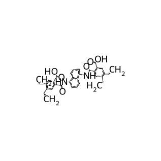 C=Cc1cc(C(=O)O)c(C(=O)Nc2cccc3c(NC(=O)c4cc(C=C)c(C=C)cc4C(=O)O)cccc23)cc1C=C